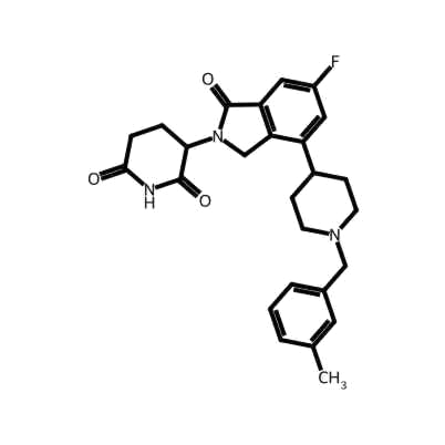 Cc1cccc(CN2CCC(c3cc(F)cc4c3CN(C3CCC(=O)NC3=O)C4=O)CC2)c1